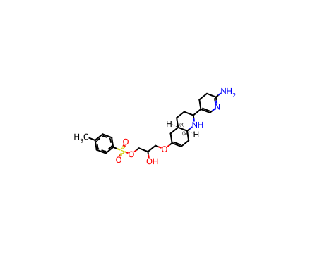 Cc1ccc(S(=O)(=O)OCC(O)COC2=CC[C@@H]3NC(C4=CN=C(N)CC4)CC[C@@H]3C2)cc1